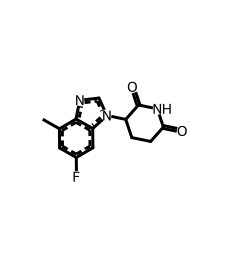 Cc1cc(F)cc2c1ncn2C1CCC(=O)NC1=O